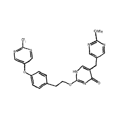 COc1ncc(Cc2c[nH]c(OCCc3ccc(Oc4cnc(C(F)(F)F)nc4)cc3)nc2=O)cn1